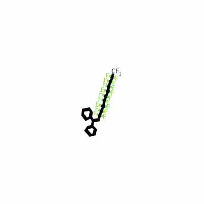 FC(F)(F)C(F)(F)C(F)(F)C(F)(F)C(F)(F)C(F)(F)C(F)(F)C(F)(F)C(F)(F)C(F)(F)C=C(c1ccccc1)c1ccccc1